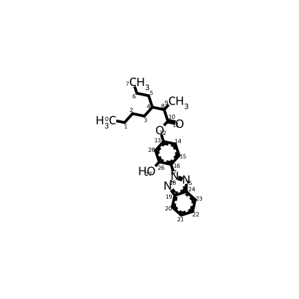 CCCCC(CCC)C(C)C(=O)Oc1ccc(-n2nc3ccccc3n2)c(O)c1